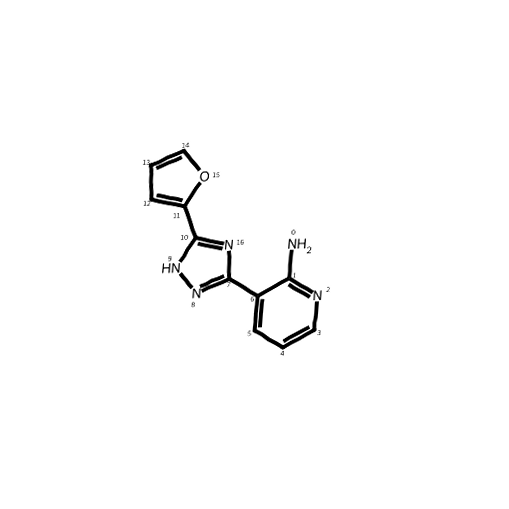 Nc1ncccc1-c1n[nH]c(-c2ccco2)n1